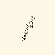 OC(Nc1ccc(-c2ccc(F)nc2)cc1)c1cc2sc(N3CCN4CCCC4C3)nc2s1